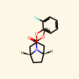 CC(C)(C)OC(=O)N1[C@@H]2CC[C@H]1C[C@H](Oc1ccccc1F)C2